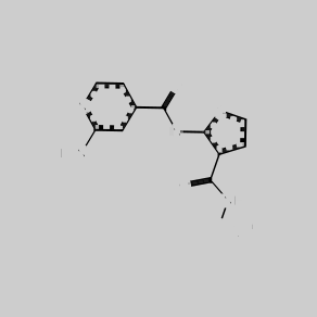 CCOC(=O)NC(=O)c1ccsc1NC(=O)c1ccnc(N)c1